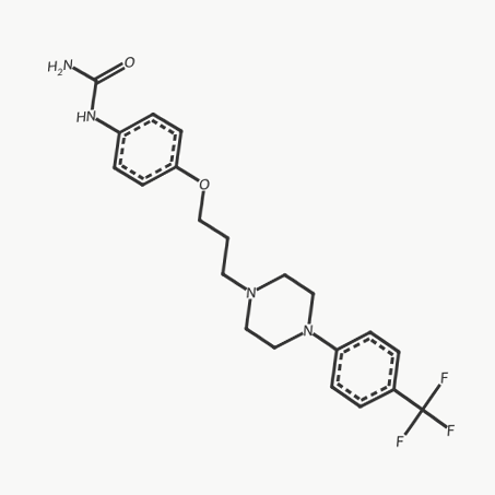 NC(=O)Nc1ccc(OCCCN2CCN(c3ccc(C(F)(F)F)cc3)CC2)cc1